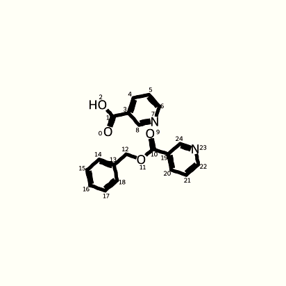 O=C(O)c1cccnc1.O=C(OCc1ccccc1)c1cccnc1